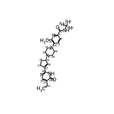 [2H]C([2H])([2H])NC(=O)c1ccc(N2CCN(C3C=C(c4ncc(CC)c(=O)[nH]4)CC3)CC2)c(C)n1